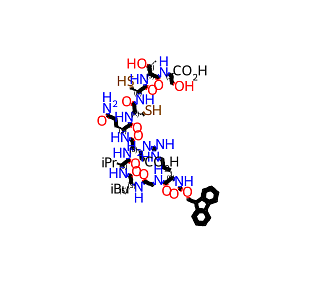 CC[C@H](C)[C@H](NC(=O)CNC(=O)[C@H](CCCNC(=N)N)NC(=O)OCC1c2ccccc2-c2ccccc21)C(=O)N[C@H](C(=O)N[C@@H](CCC(=O)O)C(=O)N[C@@H](CCC(N)=O)C(=O)N[C@@H](CS)C(=O)N[C@@H](CS)C(=O)N[C@H](C(=O)N[C@@H](CO)C(=O)O)[C@@H](C)O)C(C)C